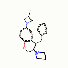 CC1CN(c2ccc3c(c2)C(Cc2ccccc2)C(N2CCC2)CO3)C1